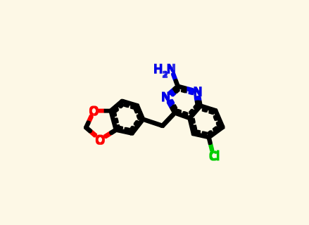 Nc1nc(Cc2ccc3c(c2)OCO3)c2cc(Cl)ccc2n1